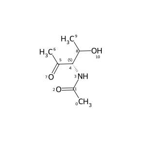 CC(=O)N[C@H](C(C)=O)C(C)O